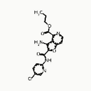 CCCOC(=O)c1nccc2oc(C(=O)Nc3ccc(Cl)cn3)c(N)c12